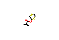 C=C(C)C(=O)OC1CSCCS1